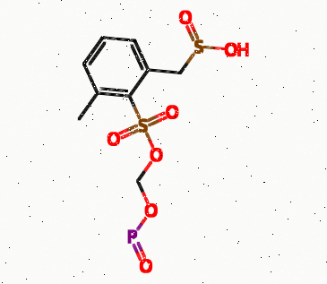 Cc1cccc(CS(=O)O)c1S(=O)(=O)OCOP=O